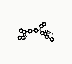 CC1(C)c2cc(-c3ccccc3)ccc2-c2ccc(N(c3ccc(-c4ccc(-c5cc6ccccc6c6c5oc5ccc7ccccc7c56)cc4)cc3)c3ccc4ccccc4c3)cc21